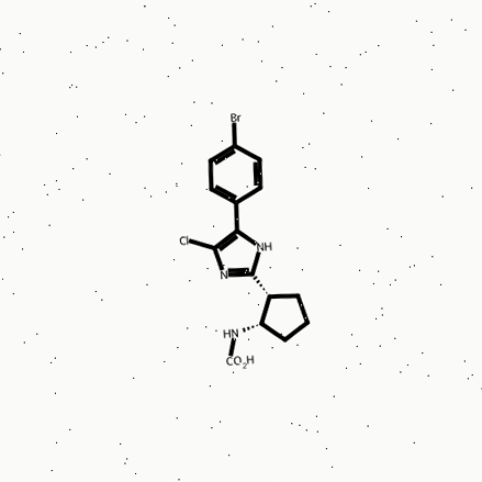 O=C(O)N[C@H]1CCC[C@H]1c1nc(Cl)c(-c2ccc(Br)cc2)[nH]1